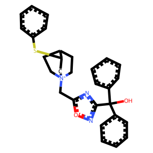 OC(c1ccccc1)(c1ccccc1)c1noc(C[N+]23CCC(CC2)C(Sc2ccccc2)C3)n1